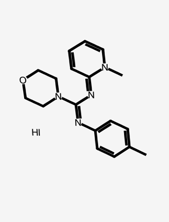 Cc1ccc(N=C(N=c2ccccn2C)N2CCOCC2)cc1.I